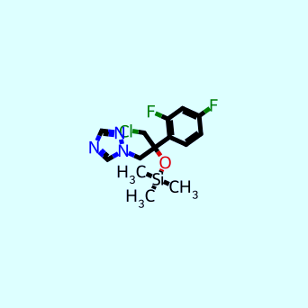 C[Si](C)(C)OC(CCl)(Cn1cncn1)c1ccc(F)cc1F